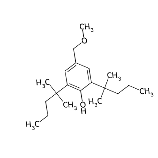 CCCC(C)(C)c1cc(COC)cc(C(C)(C)CCC)c1O